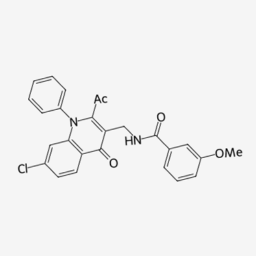 COc1cccc(C(=O)NCc2c(C(C)=O)n(-c3ccccc3)c3cc(Cl)ccc3c2=O)c1